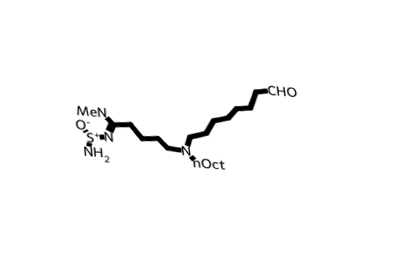 CCCCCCCCN(CCCCCCCC=O)CCCC/C(=N/[S+](N)[O-])NC